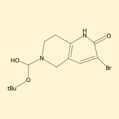 CC(C)(C)OC(O)N1CCc2[nH]c(=O)c(Br)cc2C1